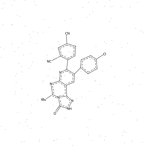 CC(C)(C)c1nc2nc(-c3ccc(C#N)cc3C#N)c(-c3ccc(Cl)cc3)cc2c2n[nH]c(=O)n12